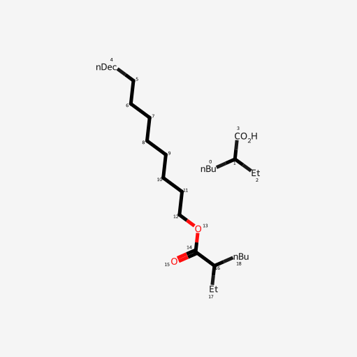 CCCCC(CC)C(=O)O.CCCCCCCCCCCCCCCCCCOC(=O)C(CC)CCCC